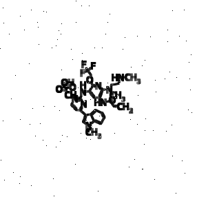 C=CC(=O)Nc1cc(Nc2nccc(-c3cn(C)c4ccccc34)n2)c(OCC(F)(F)F)nc1N(C)CCNC.CS(=O)(=O)O